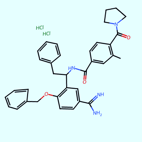 Cc1cc(C(=O)NC(Cc2ccccc2)c2cc(C(=N)N)ccc2OCc2ccccc2)ccc1C(=O)N1CCCC1.Cl.Cl